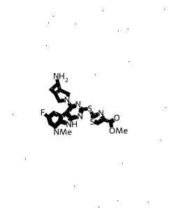 CNc1cc(F)cc2c1[nH]c1nc(Sc3nc(C(=O)OC)cs3)nc(N3CC4CC(N)C4C3)c12